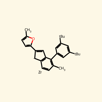 Cc1ccc(C2=Cc3c(ccc(C)c3-c3cc(C(C)(C)C)cc(C(C)(C)C)c3)[CH]2)o1.[Zr]